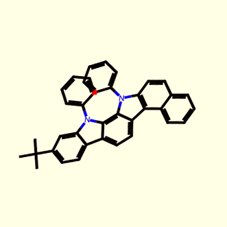 CC(C)(C)c1ccc2c3ccc4c5c6ccccc6ccc5n(-c5ccccc5)c4c3n(-c3ccccc3)c2c1